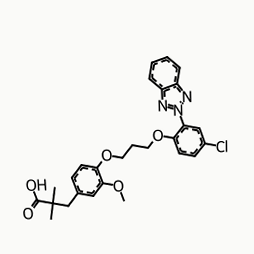 COc1cc(CC(C)(C)C(=O)O)ccc1OCCCOc1ccc(Cl)cc1-n1nc2ccccc2n1